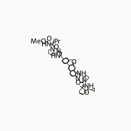 COC(=O)N[C@H](C(=O)N1CCC[C@H]1c1ncc(-c2ccc3c(c2)COc2cc4c(ccc5nc([C@@H]6CCCN6C(=O)[C@H](NC(=O)C6CC6)C6(C)C=CC=CC6)[nH]c54)cc2-3)[nH]1)C(C)C